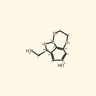 Cl.NC[C@H]1OB2OCCOc3cccc1c32